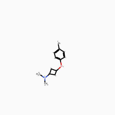 CC(C)c1ccc(OC2CC(N(C)C)C2)cc1